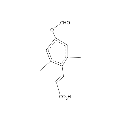 Cc1cc(OC=O)cc(C)c1C=CC(=O)O